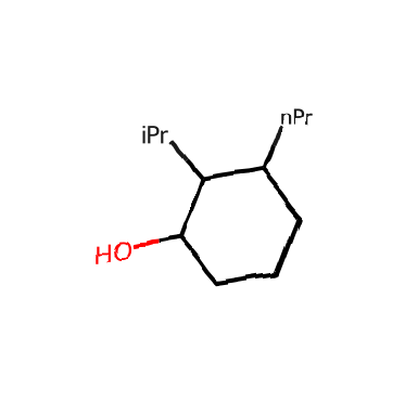 CCCC1CCCC(O)C1C(C)C